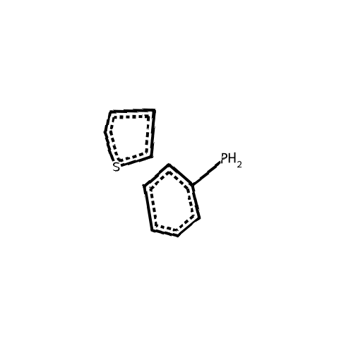 Pc1ccccc1.c1ccsc1